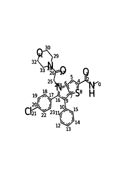 CNC(=O)c1cc2c(s1)c(-c1ccccc1)c(-c1ccc(Cl)cc1)n2CC(=O)N1CCOCC1